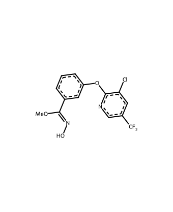 COC(=NO)c1cccc(Oc2ncc(C(F)(F)F)cc2Cl)c1